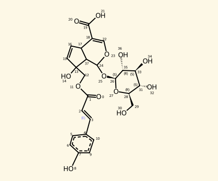 O=C(/C=C/c1ccc(O)cc1)OCC1(O)C=CC2C(C(=O)O)=COC(O[C@@H]3O[C@H](CO)[C@@H](O)[C@H](O)[C@H]3O)C21